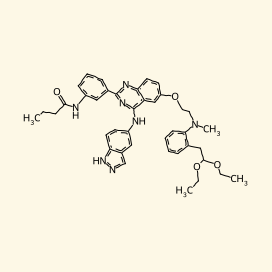 CCCC(=O)Nc1cccc(-c2nc(Nc3ccc4[nH]ncc4c3)c3cc(OCCN(C)c4ccccc4CC(OCC)OCC)ccc3n2)c1